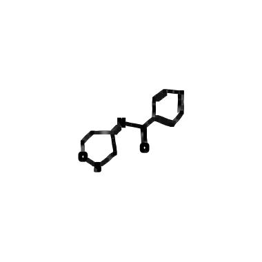 O=C(N=C1CCOSC1)c1ccccc1